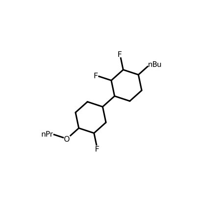 CCCCC1CCC(C2CCC(OCCC)C(F)C2)C(F)C1F